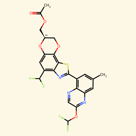 CC(=O)OC[C@H]1COc2c(cc(C(F)F)c3nc(-c4cc(C)cc5nc(OC(F)F)cnc45)sc23)O1